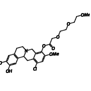 COCCOCCOCC(=O)Oc1c(OC)cc(Cl)c2c1CN1CCc3cc(OC)c(O)cc3C1C2